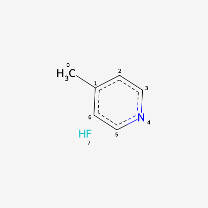 Cc1ccncc1.F